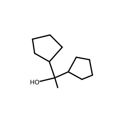 CC(O)(C1CCCC1)C1CCCC1